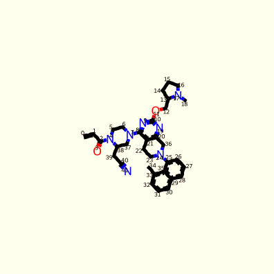 C=CC(=O)N1CCN(c2nc(OCC3CCCN3C)nc3c2CCN(c2cccc4cccc(C)c24)C3)CC1CC#N